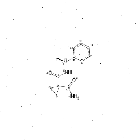 C[C@H](NC(=O)C1(C(N)=O)CC1)c1ccccc1